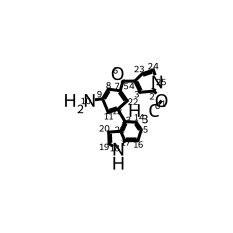 COc1cc(C(=O)c2cc(N)cc(-c3cccc4[nH]ccc34)c2)ccn1